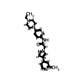 CCN1CCN(c2ccc(NC(=O)Cn3cc(-c4ccnc(C)c4)cn3)nc2)CC1